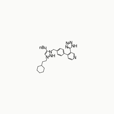 CCCCC1=CN(CCC2CCCCC2)NN1Cc1ccc(-c2ccncc2-c2nnn[nH]2)cc1